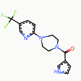 O=C(c1cc[nH]c1)N1CCN(c2ccc(C(F)(F)F)cn2)CC1